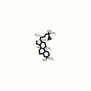 C[C@H](CC[C@](C)(O)C1CC1)[C@H]1CCC2[C@@H]3CCC4C[C@@](C)(O)CC[C@]4(C)C3CC[C@@]21C